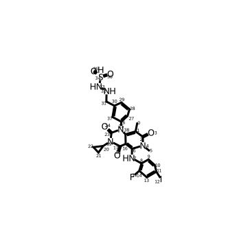 Cc1c(=O)n(C)c(Nc2ccc(I)cc2F)c2c(=O)n(C3CC3)c(=O)n(-c3cccc(CNN[SH](=O)=O)c3)c12